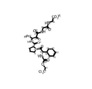 CCCC(NC(=O)[C@@H]1CCCN1C(=O)[C@@H](NC(=O)OCC(Cl)(Cl)Cl)C1CCCCC1)C(=O)C(=O)NCC(=O)NCC(=O)O